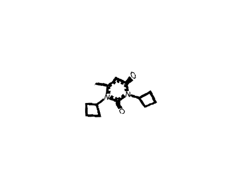 Cc1cc(=O)n(C2CCC2)c(=O)n1C1CCC1